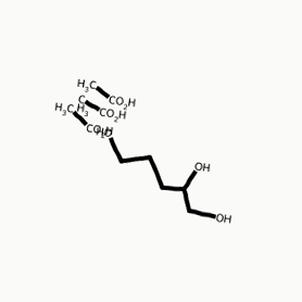 CC(=O)O.CC(=O)O.CC(=O)O.OCCCC(O)CO